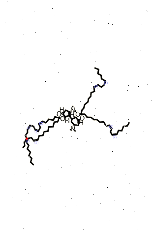 CCCCC/C=C\C/C=C\CCCCCCCCC1(CCCCCCCC/C=C\C/C=C\CCCCC)O[C@@H]2C(C3[C@H](N(C)C)C[C@H]4OC(CCCC/C=C\C/C=C\C/C=C\CCCCCC)(CCCCCCCC/C=C\C/C=C\CCCCCCC)O[C@@H]34)C[C@H](N(C)C)C[C@H]2O1